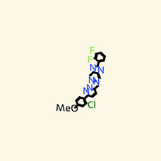 COc1ccc(-c2ccc(Cn3cc4nc(-c5cccc(F)c5F)nc-4cn3)nn2)c(Cl)c1